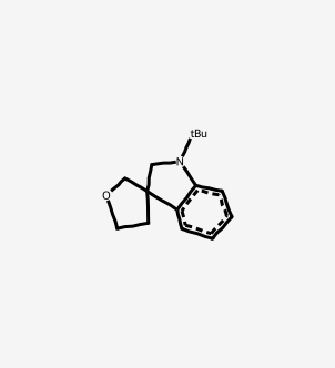 CC(C)(C)N1CC2(CCOC2)c2ccccc21